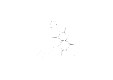 Cn1c(=O)c2[nH]c(=O)n(C3CCC3)c(=O)c2n(CCC2CCC2)c1=O